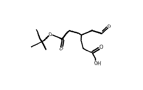 CC(C)(C)OC(=O)CC(CC=O)CC(=O)O